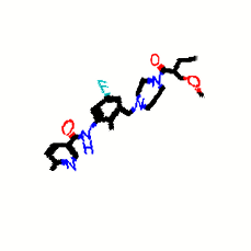 CCC(COC)C(=O)N1CCN(Cc2cc(F)cc(NC(=O)c3ccc(C)nc3)c2C)CC1